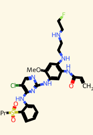 C=CC(=O)Nc1cc(Nc2ncc(Cl)c(Nc3ccccc3S(=O)(=O)C(C)C)n2)c(OC)cc1NCCNCCF